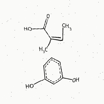 CC=C(C)C(=O)O.Oc1cccc(O)c1